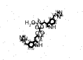 CN(C)C(Cc1c[nH]c2ccc(Cn3cncn3)cc12)OC(=O)C(=O)OC(Cc1c[nH]c2ccc(Cn3cncn3)cc12)N(C)C.O